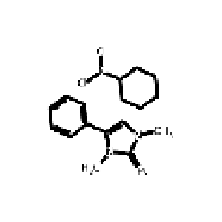 ClN(Cl)C1CCCCC1.Cn1cc(-c2ccccc2)n(C)[c]1=[Pt]